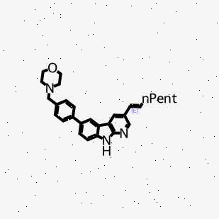 CCCCC/C=C/c1cnc2[nH]c3ccc(-c4ccc(CN5CCOCC5)cc4)cc3c2c1